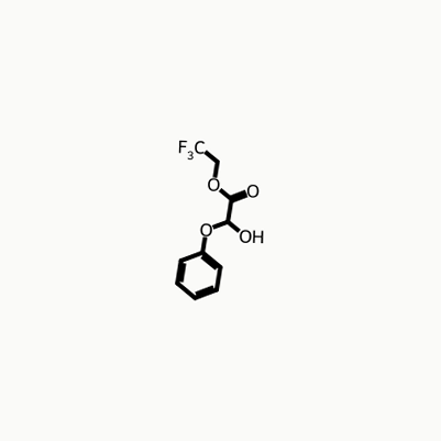 O=C(OCC(F)(F)F)C(O)Oc1ccccc1